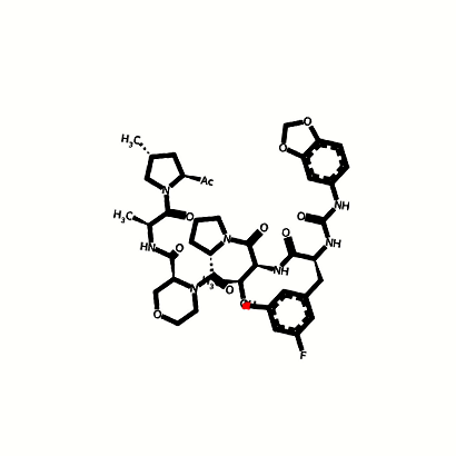 CC(=O)[C@@H]1C[C@@H](C)CN1C(=O)[C@H](C)NC(=O)[C@@H]1COCCN1C(=O)[C@@H]1CCCN1C(=O)[C@@H](NC(=O)[C@H](Cc1cc(F)cc(F)c1)NC(=O)Nc1ccc2c(c1)OCO2)[C@H](C)O